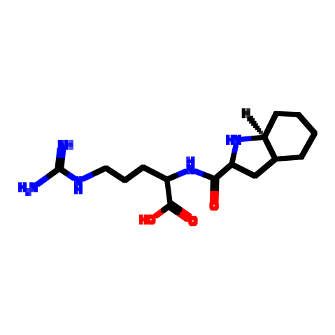 N=C(N)NCCCC(NC(=O)C1CC2CCCC[C@@H]2N1)C(=O)O